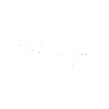 CC1C(OCc2ccc(C(F)(F)F)cc2F)CN1C(=O)O